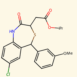 COc1cccc(C2SC(CC(=O)OC(C)C)C(=O)Nc3ccc(Cl)cc32)c1